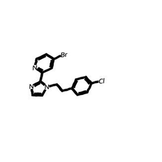 Clc1ccc(CCn2ccnc2-c2cc(Br)ccn2)cc1